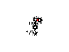 Cc1nccn1-c1ccc(C(O)(Sc2ccccc2)C2CCOCC2)cc1